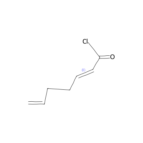 C=CCC/C=C/C(=O)Cl